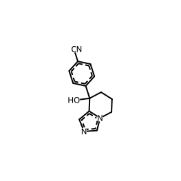 N#Cc1ccc(C2(O)CCCn3cncc32)cc1